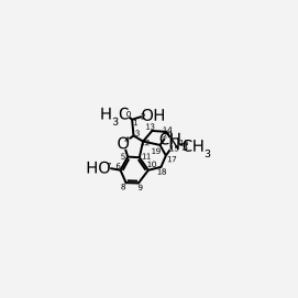 CC(O)C1Oc2c(O)ccc3c2C12CCN(C)C(C3)C2C